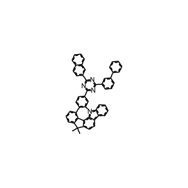 CC1(C)c2cccc3c2-c2c1ccc1c4ccccc4n(c21)-c1cc(-c2nc(-c4cccc(-c5ccccc5)c4)nc(-c4ccc5ccccc5c4)n2)ccc1-3